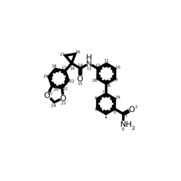 NC(=O)c1cccc(-c2cccc(NC(=O)C3(c4ccc5c(c4)OCO5)CC3)c2)c1